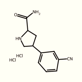 Cl.Cl.N#Cc1cccc(C2CNC(C(N)=O)C2)c1